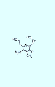 Cc1c(N)c(CCO)nn(CC(C)C)c1=O.Cl